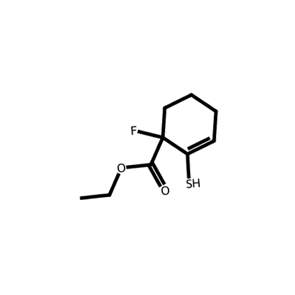 CCOC(=O)C1(F)CCCC=C1S